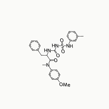 COc1ccc(N(C)C(=O)C(Cc2ccccc2)NC(=O)NS(=O)(=O)Nc2cccc(C)c2)cc1